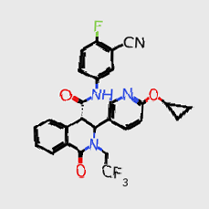 N#Cc1cc(NC(=O)[C@H]2c3ccccc3C(=O)N(CC(F)(F)F)C2c2ccc(OC3CC3)nc2)ccc1F